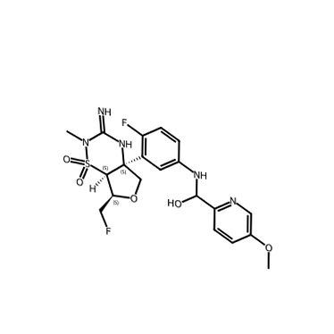 COc1ccc(C(O)Nc2ccc(F)c([C@]34CO[C@@H](CF)[C@H]3S(=O)(=O)N(C)C(=N)N4)c2)nc1